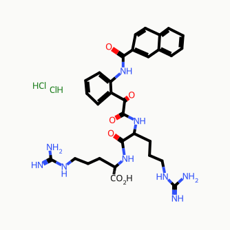 Cl.Cl.N=C(N)NCCCC(NC(=O)C(CCCNC(=N)N)NC(=O)C(=O)c1ccccc1NC(=O)c1ccc2ccccc2c1)C(=O)O